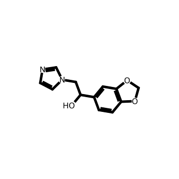 OC(Cn1ccnc1)c1ccc2c(c1)OCO2